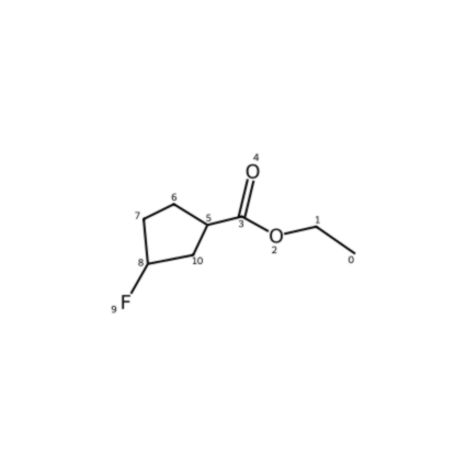 CCOC(=O)C1CCC(F)C1